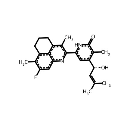 CC(C)=C[C@@H](O)c1cc(-c2nc3cc(F)c(C)c4c3c(c2C)CCC4)[nH]c(=O)c1C